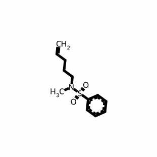 C=CCCCN(C)S(=O)(=O)c1ccccc1